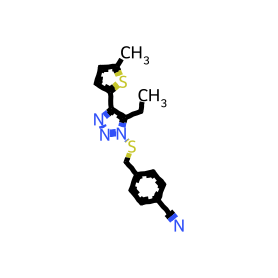 CCc1c(-c2ccc(C)s2)nnn1SCc1ccc(C#N)cc1